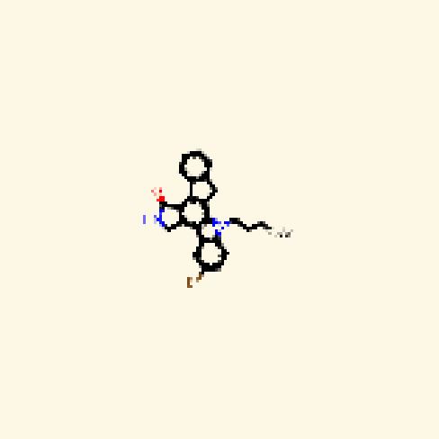 CC(=O)OCCCn1c2ccc(Br)cc2c2c3c(c4c(c21)Cc1ccccc1-4)C(=O)NC3